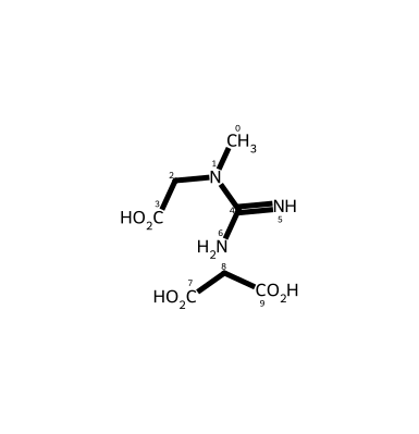 CN(CC(=O)O)C(=N)N.O=C(O)CC(=O)O